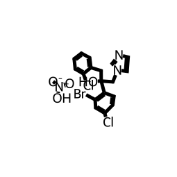 O=[N+]([O-])O.OC(Cc1ccccc1Cl)(Cn1ccnc1)c1ccc(Cl)cc1Br